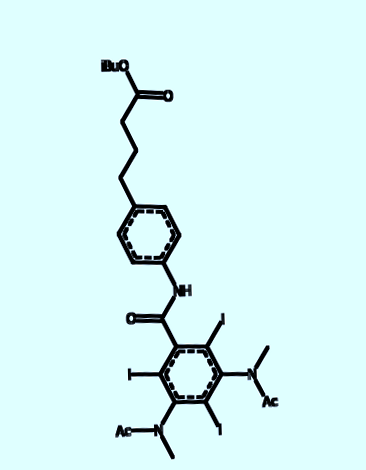 CC(=O)N(C)c1c(I)c(C(=O)Nc2ccc(CCCC(=O)OCC(C)C)cc2)c(I)c(N(C)C(C)=O)c1I